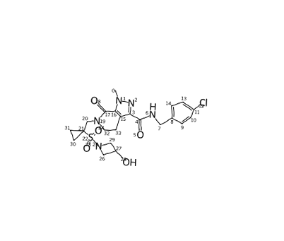 Cn1nc(C(=O)NCc2ccc(Cl)cc2)c2c1C(=O)N(CC1(S(=O)(=O)N3CC(O)C3)CC1)CC2